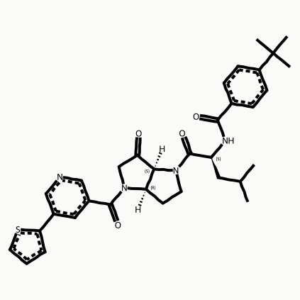 CC(C)C[C@H](NC(=O)c1ccc(C(C)(C)C)cc1)C(=O)N1CC[C@@H]2[C@H]1C(=O)CN2C(=O)c1cncc(-c2cccs2)c1